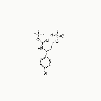 CC(C)(C)OC(=O)NC(CCOS(C)(=O)=O)c1ccc(Br)cc1